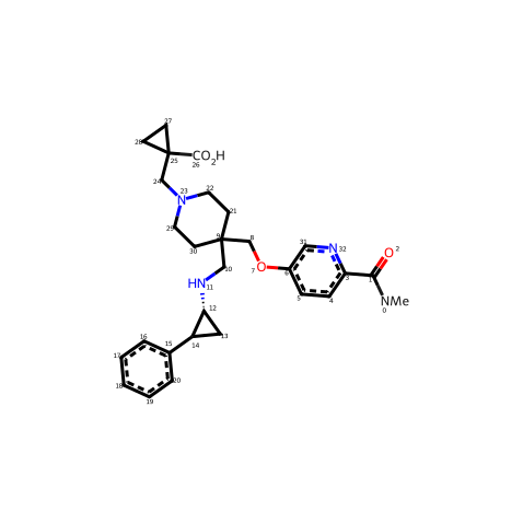 CNC(=O)c1ccc(OCC2(CN[C@@H]3CC3c3ccccc3)CCN(CC3(C(=O)O)CC3)CC2)cn1